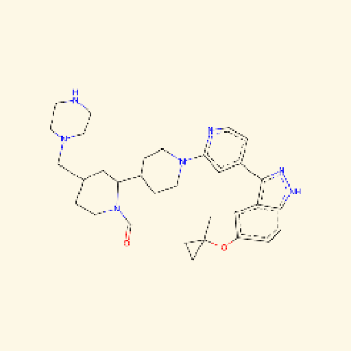 CC1(Oc2ccc3[nH]nc(-c4ccnc(N5CCC(C6CC(CN7CCNCC7)CCN6C=O)CC5)c4)c3c2)CC1